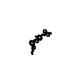 CCCCOc1cccc(COc2ccc(CCC(=O)OCC)cc2C)c1